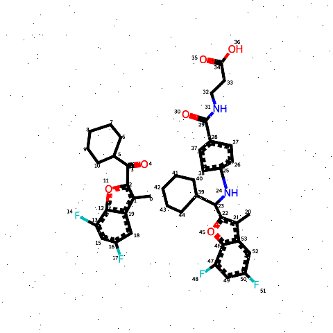 Cc1c(C(=O)C2CCCCC2)oc2c(F)cc(F)cc12.Cc1c(C(Nc2ccc(C(=O)NCCC(=O)O)cc2)C2CCCCC2)oc2c(F)cc(F)cc12